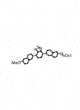 CCCCCCCCOc1ccc2cc(-c3ccc(-c4ccc5cc(OC)ccc5c4)c4nsnc34)ccc2c1